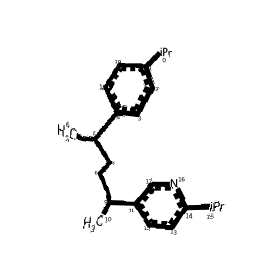 CC(C)c1ccc(C(C)CCC(C)c2ccc(C(C)C)nc2)cc1